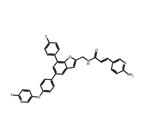 Nc1ccc(/C=C/C(=O)NCc2cc3cc(-c4ccc(Oc5ccc(F)nc5)cc4)cc(-c4ccc(F)cc4)c3o2)cn1